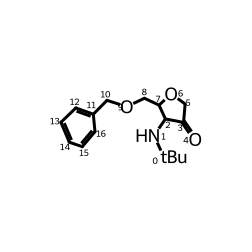 CC(C)(C)NC1C(=O)COC1COCc1ccccc1